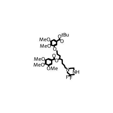 COc1cc(C(=O)OC(CCCCN2CCNCC(F)(F)C2)CCCOc2cc(C(=O)OC(C)(C)C)cc(OC)c2OC)cc(OC)c1OC